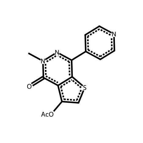 CC(=O)Oc1csc2c(-c3ccncc3)nn(C)c(=O)c12